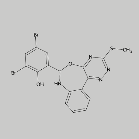 CSc1nnc2c(n1)OC(c1cc(Br)cc(Br)c1O)Nc1ccccc1-2